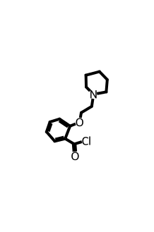 O=C(Cl)c1ccccc1OCCN1CCCCC1